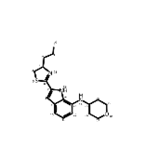 ICCC1CSC(c2cc3cccc(NC4CCOCC4)c3[nH]2)=N1